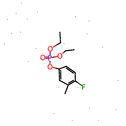 CCOP(=O)(OCC)Oc1ccc(F)c(C)c1